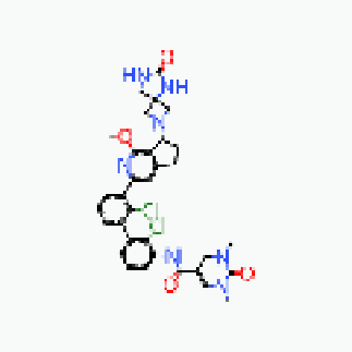 COc1nc(-c2cccc(-c3cccc(NC(=O)C4=CN(C)C(=O)N(C)C4)c3Cl)c2Cl)cc2c1C(N1CC3(CNC(=O)N3)C1)CC2